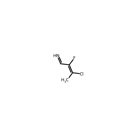 C/C(Cl)=C(/F)C=N